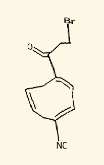 [C-]#[N+]c1ccc(C(=O)CBr)cc1